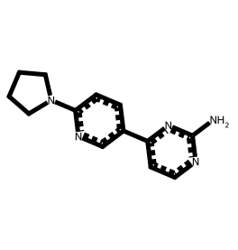 Nc1nccc(-c2ccc(N3CCCC3)nc2)n1